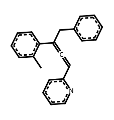 Cc1ccccc1C(=C=Cc1ccccn1)Cc1ccccc1